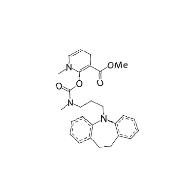 COC(=O)C1=C(OC(=O)N(C)CCCN2c3ccccc3CCc3ccccc32)N(C)C=CC1